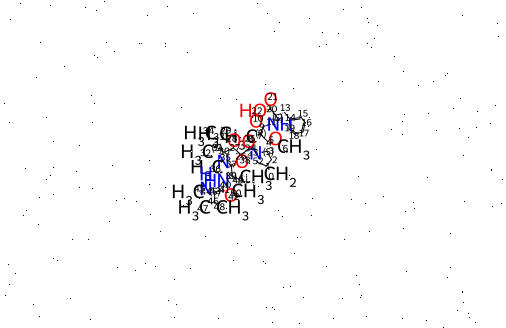 C=C1C[C@@H](C(OC)[C@@H](C)C(=O)N[C@@H](Cc2ccccc2)C(=O)O)N(C(=O)CC(OC)C([C@@H](C)CC)N(C)C(=O)[C@@H](NC(=O)[C@@H](NC)C(C)C)C(C)C)C1